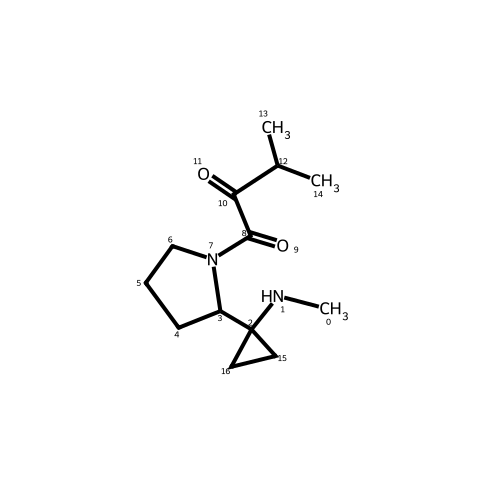 CNC1(C2CCCN2C(=O)C(=O)C(C)C)CC1